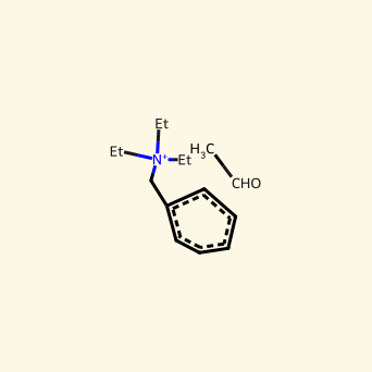 CC=O.CC[N+](CC)(CC)Cc1ccccc1